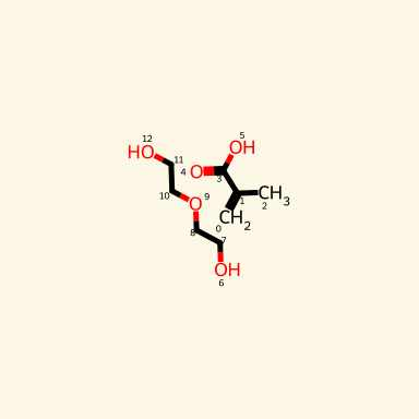 C=C(C)C(=O)O.OCCOCCO